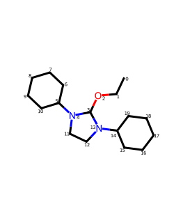 CCOC1N(C2CCCCC2)CCN1C1CCCCC1